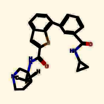 O=C(NC1CC1)c1cccc(-c2cccc3cc(C(=O)N[C@H]4CN5CCC4CC5)sc23)c1